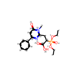 CCOP(=O)(OCC)C(Cc1nc(-c2ccccc2)cc(=O)n1C)C(=O)O